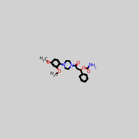 COc1ccc(N2CCN(C(=O)CC(OC(N)=O)c3ccccc3)CC2)c(OC)c1